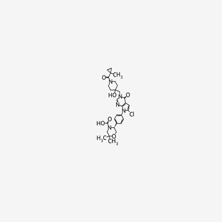 CC1(C)CN(C(=O)O)[C@@H](c2ccc(-n3c(Cl)cc4c(=O)n(CC5(O)CCN(C(=O)C6(C)CC6)CC5)cnc43)cc2)CO1